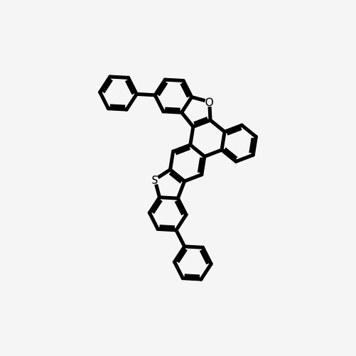 c1ccc(-c2ccc3sc4cc5c(cc4c3c2)c2ccccc2c2oc3ccc(-c4ccccc4)cc3c52)cc1